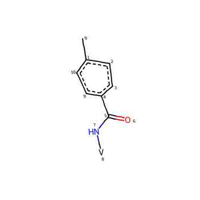 Cc1ccc(C(=O)[NH][V])cc1